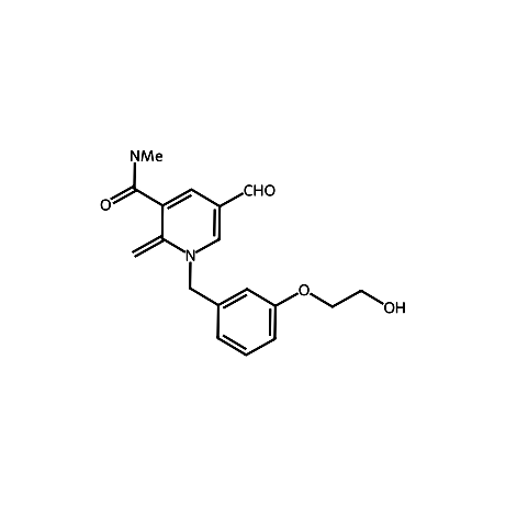 C=C1C(C(=O)NC)=CC(C=O)=CN1Cc1cccc(OCCO)c1